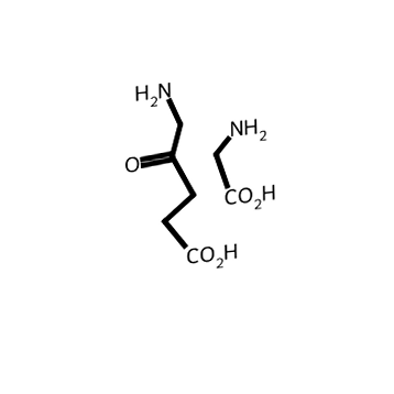 NCC(=O)CCC(=O)O.NCC(=O)O